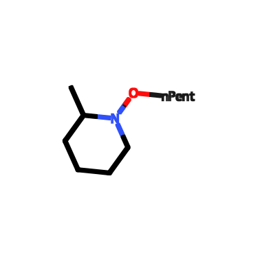 CCCCCON1CCCCC1C